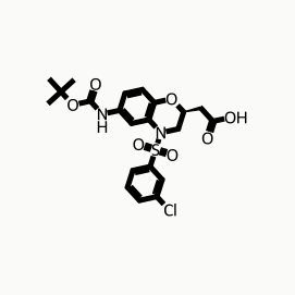 CC(C)(C)OC(=O)Nc1ccc2c(c1)N(S(=O)(=O)c1cccc(Cl)c1)C[C@H](CC(=O)O)O2